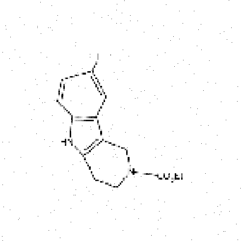 CCOC(=O)N1CCc2[nH]c3ccc(F)cc3c2C1